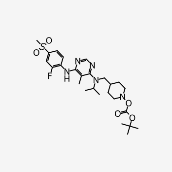 Cc1c(Nc2ccc(S(C)(=O)=O)cc2F)ncnc1N(CC1CCN(OC(=O)OC(C)(C)C)CC1)C(C)C